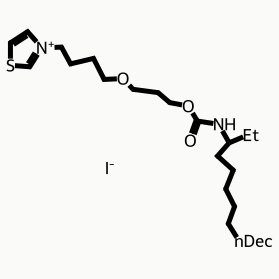 CCCCCCCCCCCCCCCC(CC)NC(=O)OCCCOCCCC[n+]1ccsc1.[I-]